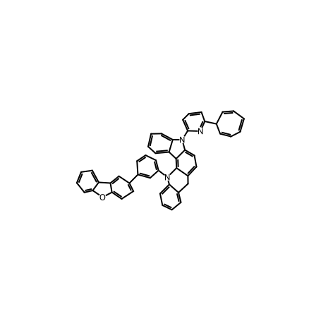 C1=CC=CC(c2cccc(-n3c4ccccc4c4c5c(ccc43)Cc3ccccc3N5c3cccc(-c4ccc5oc6ccccc6c5c4)c3)n2)C=C1